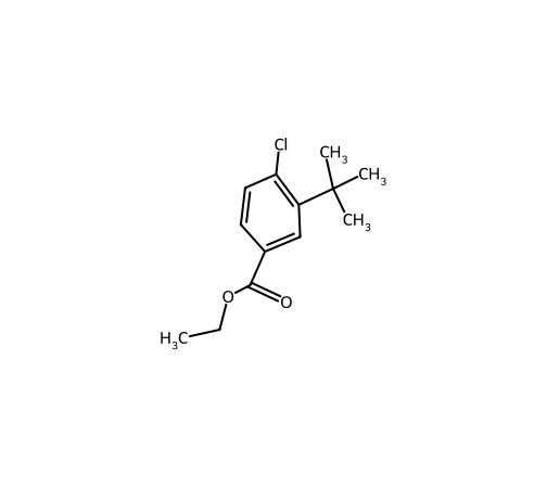 CCOC(=O)c1ccc(Cl)c(C(C)(C)C)c1